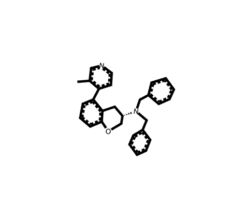 Cc1cnccc1-c1cccc2c1C[C@H](N(Cc1ccccc1)Cc1ccccc1)CO2